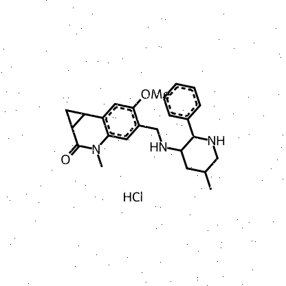 COc1cc2c(cc1CNC1CC(C)CNC1c1ccccc1)N(C)C(=O)C1CC21.Cl